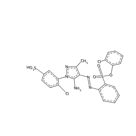 Cc1nn(-c2cc(S(=O)(=O)O)ccc2Cl)c(N)c1N=Nc1ccccc1S(=O)(=O)Oc1ccccc1Cl